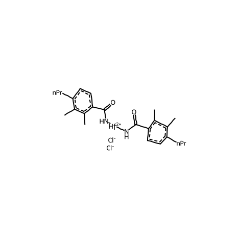 CCCc1ccc(C(=O)[NH][Hf+2][NH]C(=O)c2ccc(CCC)c(C)c2C)c(C)c1C.[Cl-].[Cl-]